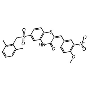 COc1ccc(/C=C2/Sc3ccc(S(=O)(=O)Cc4c(C)cccc4C)cc3NC2=O)cc1[N+](=O)[O-]